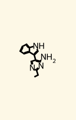 CCc1ncc(-c2c[nH]c3ccccc23)c(N)n1